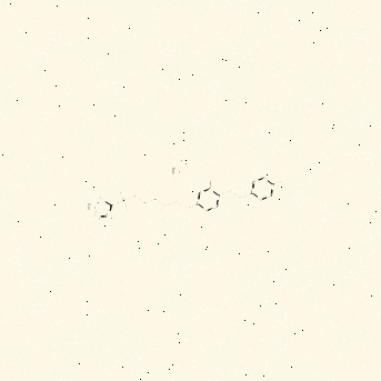 CC(C)(CCCCCOc1ccc(CCc2ccc(C(F)(F)F)cc2)c(O)c1)c1nn[nH]n1.[NaH].[NaH]